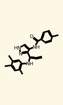 C=C=C(Nc1cc(C)c(C)cc1C)c1n[nH]cc1NC(=O)c1ccc(C)cc1